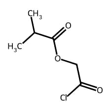 CC(C)C(=O)OCC(=O)Cl